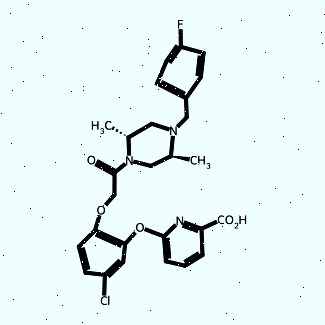 C[C@@H]1CN(Cc2ccc(F)cc2)[C@@H](C)CN1C(=O)COc1ccc(Cl)cc1Oc1cccc(C(=O)O)n1